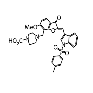 COc1ccc2c(c1CN1CCN(C(=O)O)CC1)OC(=Cc1cn(S(=O)(=O)c3ccc(C)cc3)c3ccccc13)C2=O